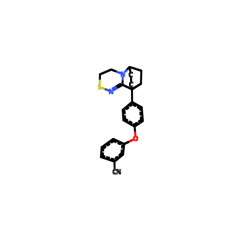 N#Cc1cccc(Oc2ccc(C34CCC(CC3)N3CCSN=C34)cc2)c1